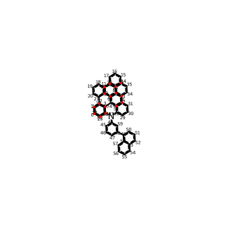 c1ccc(-c2ccccc2-c2c(-c3ccccc3)cccc2-c2cccc(N(c3cccc(-c4cccc5ccccc45)c3)c3cccc(-c4cccc5ccccc45)c3)c2)cc1